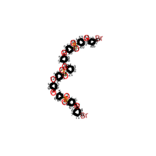 O=S(=O)(c1ccc(Oc2ccc(Oc3ccc(S(=O)(=O)c4ccccc4Oc4ccc(Oc5ccc(S(=O)(=O)c6ccc(Oc7cccc(Br)c7)cc6)cc5)cc4)cc3)cc2)cc1)c1ccc(Oc2cccc(Br)c2)cc1